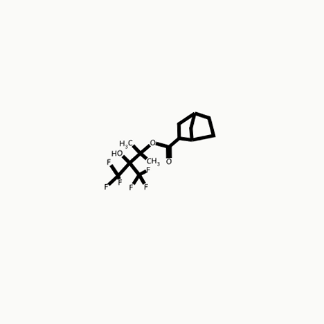 CC(C)(OC(=O)C1CC2CCC1C2)C(O)(C(F)(F)F)C(F)(F)F